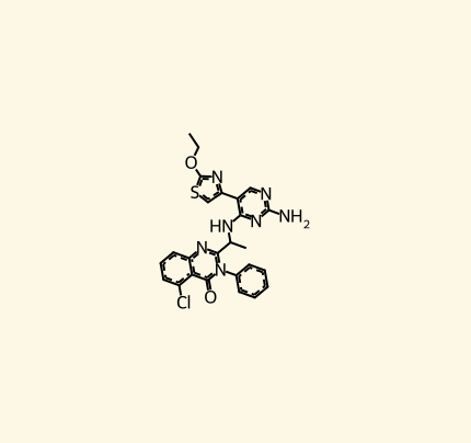 CCOc1nc(-c2cnc(N)nc2NC(C)c2nc3cccc(Cl)c3c(=O)n2-c2ccccc2)cs1